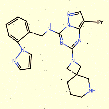 CC(C)c1cnn2c(NCc3ccccc3-n3cccn3)nc(N3CC4(CCCNC4)C3)nc12